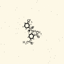 C[S+]([O-])c1ccc(NS(=O)(=O)c2cccc(C(F)(F)F)c2)c([S+](C)[O-])c1